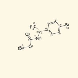 CC(C)(C)OC(=O)N[C@@H](c1ccc(Br)cc1)C(F)(F)F